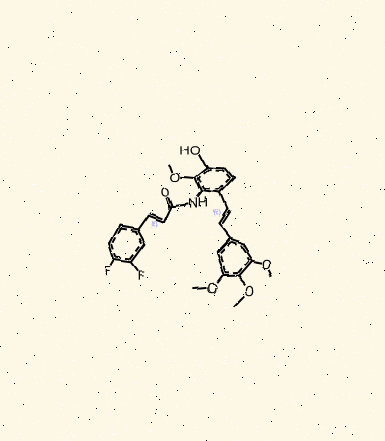 COc1cc(/C=C/c2ccc(O)c(OC)c2NC(=O)/C=C/c2ccc(F)c(F)c2)cc(OC)c1OC